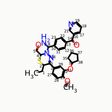 CCC1SC(C=O)N(C(N)c2ccc(C(=O)c3cccnc3)cc2)N=C1c1ccc(OC)c(OC2CCCC2)c1